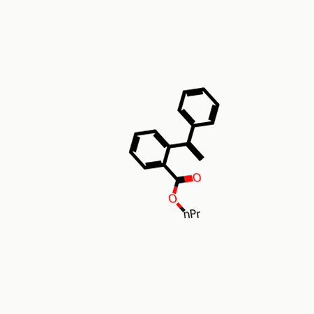 C=C(c1ccccc1)c1ccccc1C(=O)OCCC